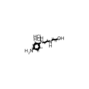 Cl.Cl.Nc1ccc(NCCNCCO)cc1